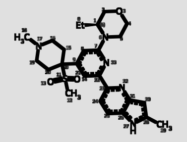 CC[C@H]1COCCN1c1cc(C2(S(C)(=O)=O)CCN(C)CC2)cc(-c2ccc3[nH]c(C)cc3n2)n1